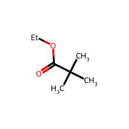 [CH2]COC(=O)C(C)(C)C